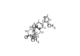 Cc1ccsc1-c1ccc2c(c1)CC[C@H]1N(C)C(=O)CC[C@]21C